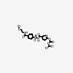 CCOCCNC(=O)c1ccc(S(=O)(=O)NC(=O)c2ccc(OC(=O)OC(CC)CC)nc2)cc1